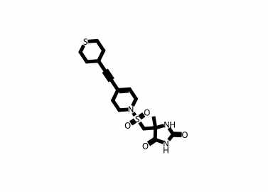 CC1(CS(=O)(=O)N2CC=C(C#CC3CCSCC3)CC2)NC(=O)NC1=O